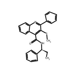 CC[C@H](NC(=O)c1c(SC)c(-c2ccccc2)nc2ccccc12)c1ccccc1